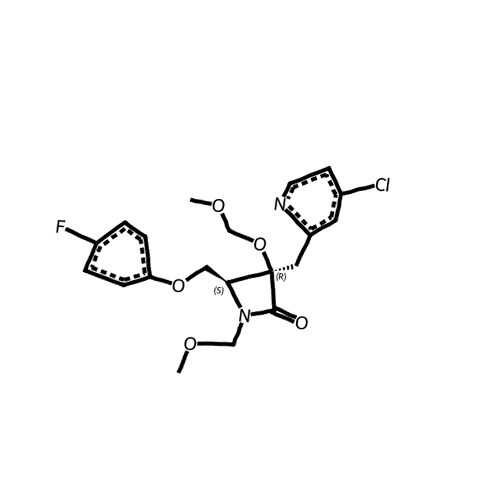 COCO[C@@]1(Cc2cc(Cl)ccn2)C(=O)N(COC)[C@H]1COc1ccc(F)cc1